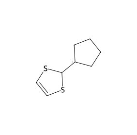 C1=CSC([C]2CCCC2)S1